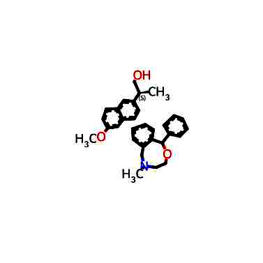 CN1CCOC(c2ccccc2)c2ccccc2C1.COc1ccc2cc([C@H](C)CO)ccc2c1